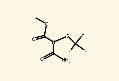 COC(=O)N(SC(F)(F)F)C(N)=O